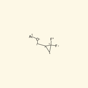 CC(=O)OCC1CC1(F)F